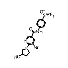 O=C(Nc1ccc([S+]([O-])C(F)(F)F)cc1)c1cnc(N2CCC(O)C2)c(Br)c1